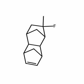 CC1(F)CC2CC1C1C3C=CC(C3)C21